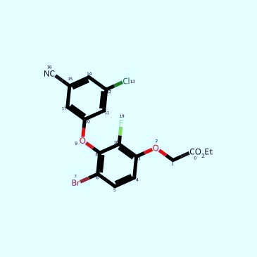 CCOC(=O)COc1ccc(Br)c(Oc2cc(Cl)cc(C#N)c2)c1F